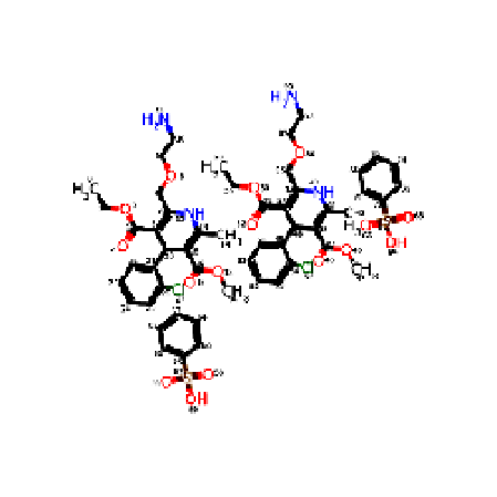 CCOC(=O)C1=C(COCCN)NC(C)=C(C(=O)OC)C1c1ccccc1Cl.CCOC(=O)C1=C(COCCN)NC(C)=C(C(=O)OC)C1c1ccccc1Cl.O=S(=O)(O)c1ccccc1.O=S(=O)(O)c1ccccc1